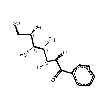 O=C(C(=O)[C@H](O)[C@@H](O)[C@H](O)[C@H](O)CO)c1ccccc1